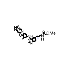 COCC(=O)NC/C=C/c1ccc2ncnc(Nc3ccc(Oc4cc5nnc(C)n5cn4)c(C)c3)c2c1